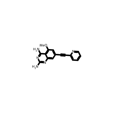 COc1cc(C#Cc2ccccn2)cc2nc(N)nc(N)c12